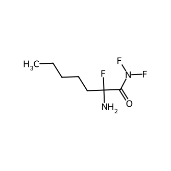 CCCCCC(N)(F)C(=O)N(F)F